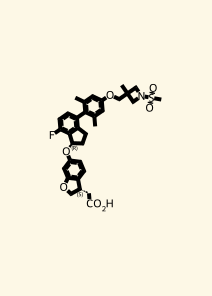 Cc1cc(OCC2(C)CN(S(C)(=O)=O)C2)cc(C)c1-c1ccc(F)c2c1CC[C@H]2Oc1ccc2c(c1)OC[C@H]2CC(=O)O